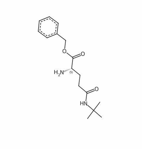 CC(C)(C)NC(=O)CC[C@H](N)C(=O)OCc1ccccc1